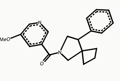 COc1cncc(C(=O)N2CC(c3ccccc3)C3(CCC3)C2)c1